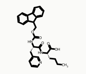 CCCC[C@H](NC(=O)[C@H](Cc1cccnc1)NC(=O)OCC1c2ccccc2-c2ccccc21)C(=O)O